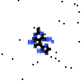 Cc1nc(N)c2c(-c3ncc[nH]3)c[nH]c2n1